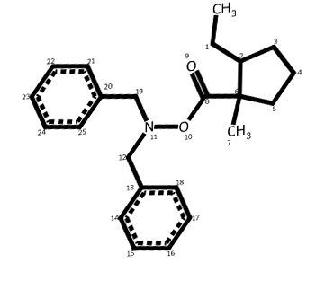 CCC1CCCC1(C)C(=O)ON(Cc1ccccc1)Cc1ccccc1